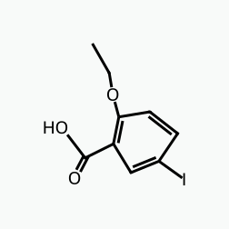 CCOc1ccc(I)cc1C(=O)O